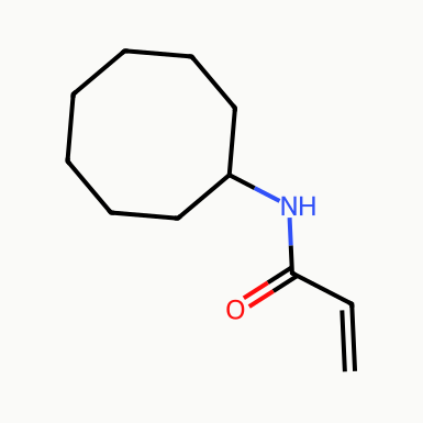 C=CC(=O)NC1CCCCCCC1